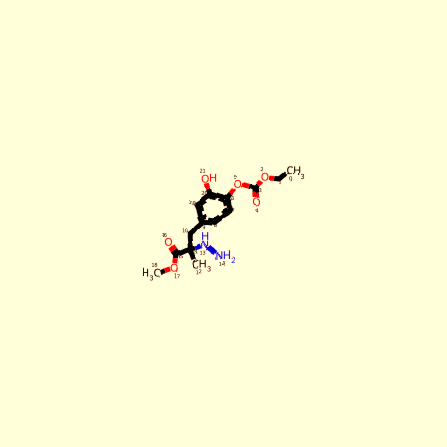 CCOC(=O)Oc1ccc(CC(C)(NN)C(=O)OC)cc1O